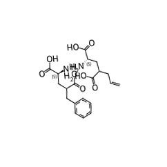 C=CCC(C[C@H](N)C(=O)O)C(=O)O.N[C@@H](CC(Cc1ccccc1)C(=O)O)C(=O)O